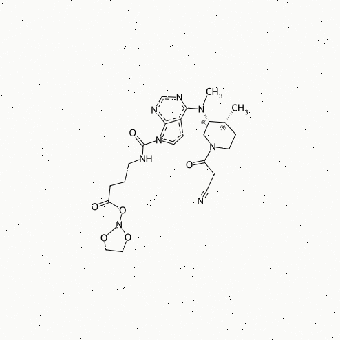 C[C@@H]1CCN(C(=O)CC#N)C[C@@H]1N(C)c1ncnc2c1ccn2C(=O)NCCCC(=O)ON1OCCO1